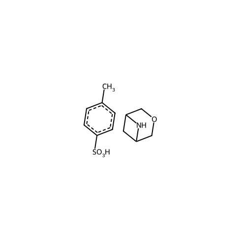 C1OCC2CC1N2.Cc1ccc(S(=O)(=O)O)cc1